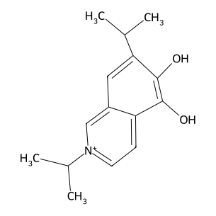 CC(C)c1cc2c[n+](C(C)C)ccc2c(O)c1O